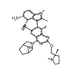 Cc1c(-c2c(Cl)cc3c(N4CC5CCC(C4)N5)nc(OC[C@]4(C)CCCN4C)nc3c2F)c2c(C#N)c(N)ccc2n1C